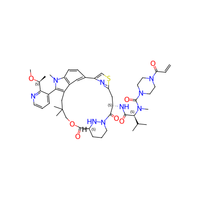 C=CC(=O)N1CCN(C(=O)N(C)[C@H](C(=O)N[C@H]2Cc3nc(cs3)-c3ccc4c(c3)c(c(-c3cccnc3[C@H](C)OC)n4C)CC(C)(C)COC(=O)[C@@H]3CCCN(N3)C2=O)C(C)C)CC1